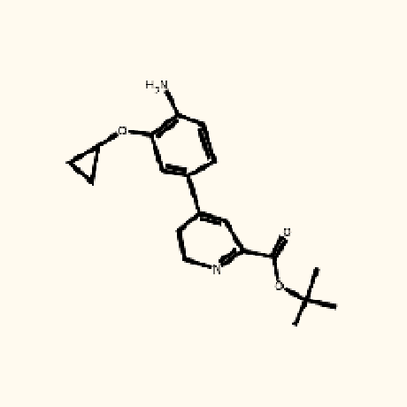 CC(C)(C)OC(=O)C1=NCCC(c2ccc(N)c(OC3CC3)c2)=C1